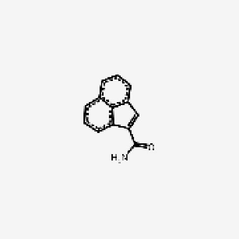 NC(=O)C1=Cc2cccc3cccc1c23